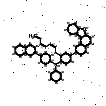 C=C/C=C\C=C/Cc1cc(-c2ccc3ccc4oc5ccccc5c4c3c2)ccc1N(c1ccccc1)c1ccc(-c2ccc3ccccc3c2)cc1